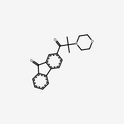 CC(C)(C(=O)c1ccc2c(c1)C(=O)c1ccccc1-2)N1CCOCC1